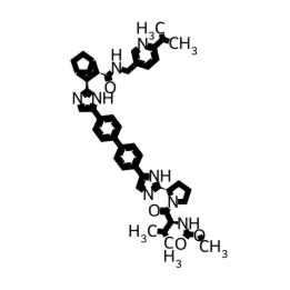 COC(=O)N[C@H](C(=O)N1CCC[C@H]1c1ncc(-c2ccc(-c3ccc(-c4cnc([C@H]5C6CCC(C6)[C@@H]5C(=O)NCc5ccc(C(C)C)nc5)[nH]4)cc3)cc2)[nH]1)C(C)C